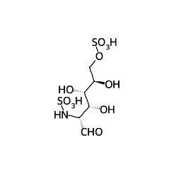 O=C[C@H](NS(=O)(=O)O)[C@@H](O)[C@H](O)[C@H](O)COS(=O)(=O)O